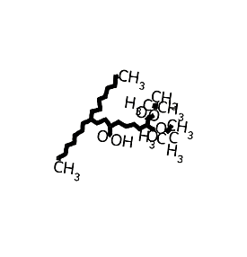 CCCCCCCCC(CCCCCCCC)CCC(CCCCC(C(=O)OC(C)(C)C)C(=O)OC(C)(C)C)C(=O)O